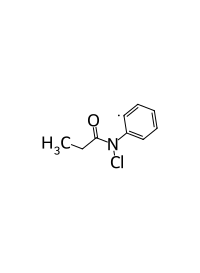 CCC(=O)N(Cl)c1[c]cccc1